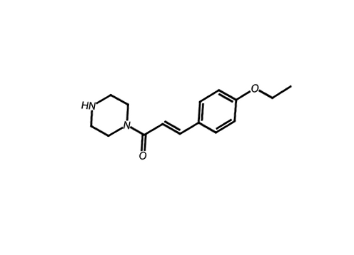 CCOc1ccc(/C=C/C(=O)N2CCNCC2)cc1